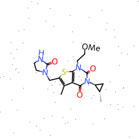 COCCn1c(=O)n([C@H]2C[C@@H]2C)c(=O)c2c(C)c(CN3CCNC3=O)sc21